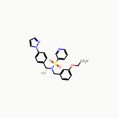 Cl.O=C(O)COc1cccc(CN(Cc2ccc(-n3cccn3)cc2)S(=O)(=O)c2cccnc2)c1